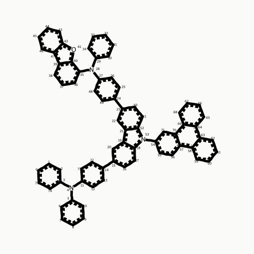 c1ccc(N(c2ccccc2)c2ccc(-c3ccc4c(c3)c3cc(-c5ccc(N(c6ccccc6)c6cccc7c6oc6ccccc67)cc5)ccc3n4-c3ccc4c5ccccc5c5ccccc5c4c3)cc2)cc1